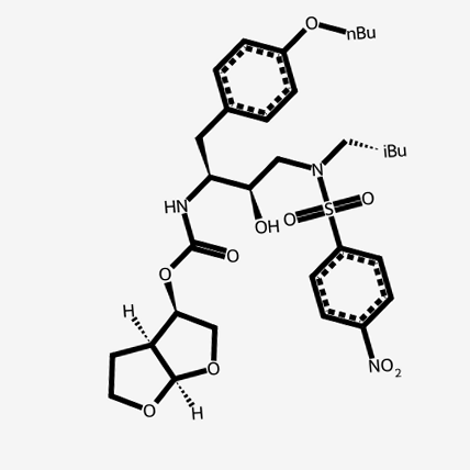 CCCCOc1ccc(C[C@H](NC(=O)O[C@H]2CO[C@H]3OCC[C@H]32)[C@H](O)CN(C[C@@H](C)CC)S(=O)(=O)c2ccc([N+](=O)[O-])cc2)cc1